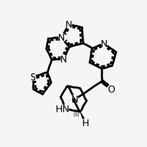 O=C(c1ccnc(-c2cnn3ccc(-c4cccs4)nc23)c1)N1CC2CC[C@@H](C1)NC2